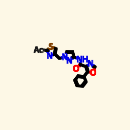 CC(=O)c1nc(Cn2ccc(NC(=O)c3ncoc3-c3ccccc3)n2)cs1